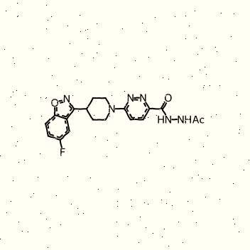 CC(=O)NNC(=O)c1ccc(N2CCC(c3noc4ccc(F)cc34)CC2)nn1